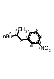 CCCCC(C)Cc1cc[c]c([N+](=O)[O-])c1